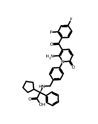 Nc1c(C(=O)c2ccc(F)cc2F)ccc(=O)n1-c1ccc(CN[C@](C(=O)O)(c2ccccc2)C2CCCC2)cc1